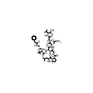 CC(C)C[C@H](N)C(=O)N1CCC[C@H]1C(=O)N[C@@H](C)C(=O)N[C@@H](COC(=O)[C@@H]1N[C@@H](CNC(=O)Cc2ccccc2)SC1(C)C)C(=O)N[C@@H](CC(N)=O)C(=O)NCC(=O)N[C@@H](C(=O)O)C(C)C